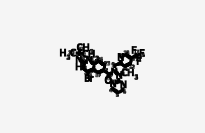 CN(c1ncccn1)N(Cc1ccc(C(F)(F)F)cn1)C(=O)c1ccc2nc(NC(C)(C)C)cc(Br)c2c1